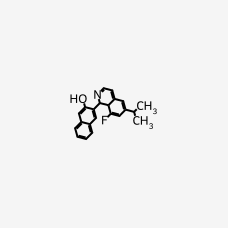 CC(C)C1=CC2=CC=NC(c3cc4ccccc4cc3O)C2C(F)=C1